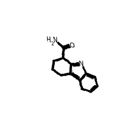 NC(=O)C1CCCC2=C3CC=CC=C3N=C21